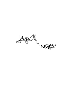 CNCCCCCCOC1CCC(N(C)C(=O)c2cccc(C#N)c2)CC1